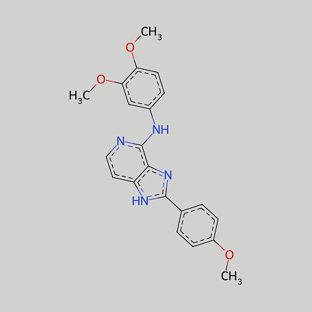 COc1ccc(-c2nc3c(Nc4ccc(OC)c(OC)c4)nccc3[nH]2)cc1